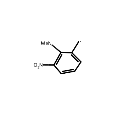 [CH2]c1cccc([N+](=O)[O-])c1NC